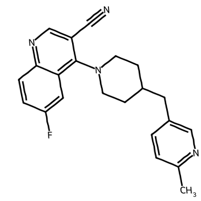 Cc1ccc(CC2CCN(c3c(C#N)cnc4ccc(F)cc34)CC2)cn1